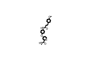 CNC(=O)c1cc(Oc2ccc(NC(=O)C=Cc3ccc(OC)cc3)cc2)ccn1